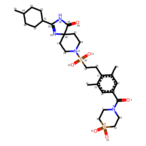 Cc1cc(C(=O)N2CCS(=O)(=O)CC2)cc(C)c1CCS(=O)(=O)N1CCC2(CC1)N=C(C1CCC(C)CC1)NC2=O